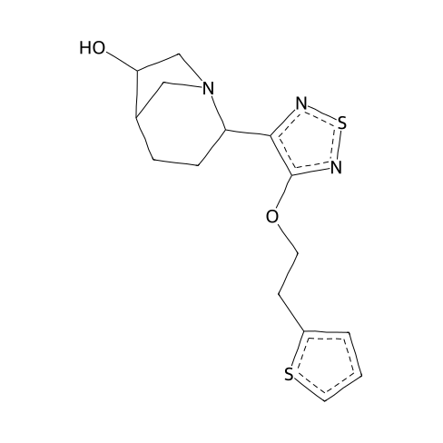 OC1CN2CC1CCC2c1nsnc1OCCc1cccs1